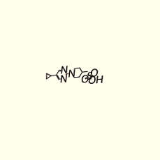 O=S(=O)(O)CC1CCN(c2ncc(C3CC3)cn2)CC1